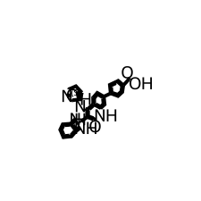 O=C(O)c1ccc(-c2ccc3c(N[C@@H]4CN5CCC4CC5)c(-c4nc5ccccc5[nH]4)c(=O)[nH]c3c2)cc1